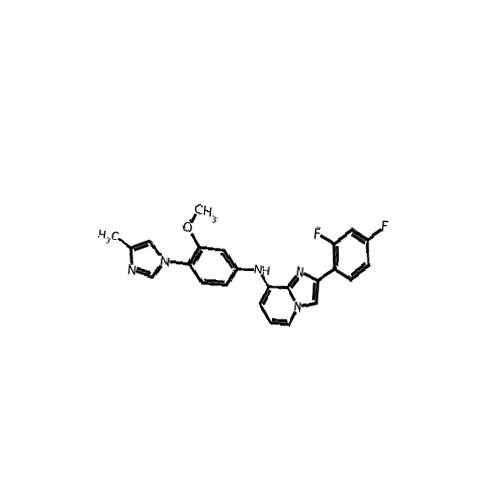 COc1cc(Nc2cccn3cc(-c4ccc(F)cc4F)nc23)ccc1-n1cnc(C)c1